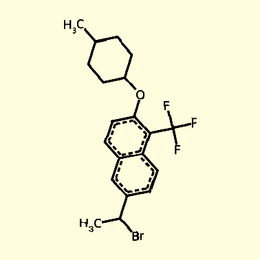 CC1CCC(Oc2ccc3cc(C(C)Br)ccc3c2C(F)(F)F)CC1